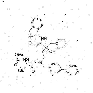 COC(=O)N[C@H](C(=O)NN(CC[C@@](O)(Cc1ccccc1)C(=O)NC1c2ccccc2C[C@H]1O)Cc1ccc(-c2ccccn2)cc1)C(C)(C)C